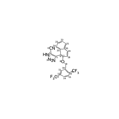 N#Cc1[nH]nnc1-c1c(OCc2cc(C(F)(F)F)ccc2C(F)(F)F)ccc2ccccc12